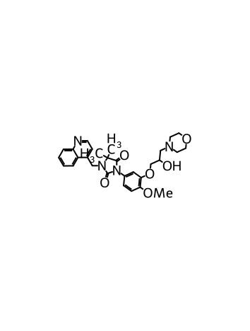 COc1ccc(N2C(=O)N(Cc3ccnc4ccccc34)C(C)(C)C2=O)cc1OCC(O)CN1CCOCC1